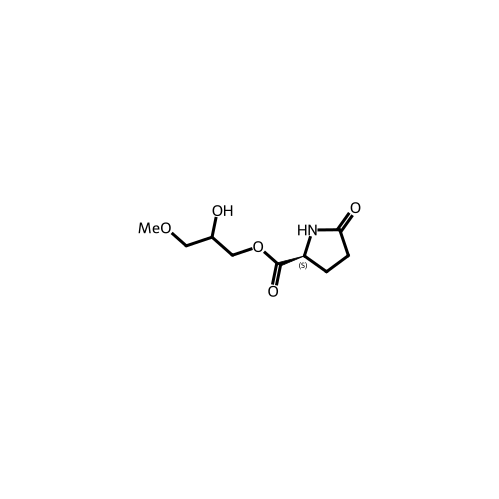 COCC(O)COC(=O)[C@@H]1CCC(=O)N1